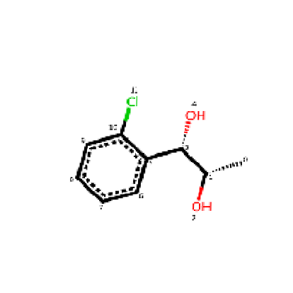 C[C@H](O)[C@@H](O)c1ccccc1Cl